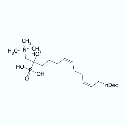 CCCCCCCCCCC/C=C\CC/C=C\CCCC(O)(C[N+](C)(C)C)P(=O)(O)O